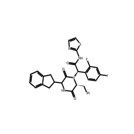 CC(C)C[C@@H]1C(=O)NC(C2Cc3ccccc3C2)C(=O)N1[C@@H](C(=O)Nc1nccs1)c1ccc(F)cc1F